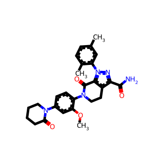 COc1cc(N2CCCCC2=O)ccc1N1CCc2c(C(N)=O)nn(-c3cc(C)ccc3C)c2C1=O